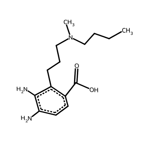 CCCCN(C)CCCc1c(C(=O)O)ccc(N)c1N